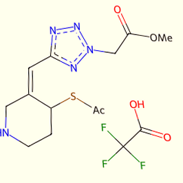 COC(=O)Cn1nnc(C=C2CNCCC2SC(C)=O)n1.O=C(O)C(F)(F)F